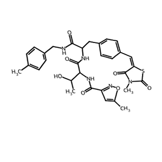 Cc1ccc(CNC(=O)C(Cc2ccc(C=C3SC(=O)N(C)C3=O)cc2)NC(=O)C(NC(=O)c2cc(C)on2)C(C)O)cc1